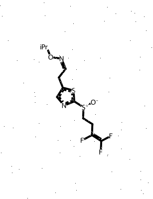 CC(C)O/N=C\Cc1cnc([S@@+]([O-])CCC(F)=C(F)F)s1